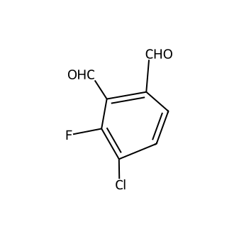 O=Cc1ccc(Cl)c(F)c1C=O